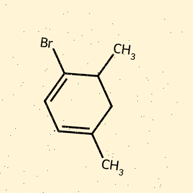 C[C]1CC(C)=[C]C=C1Br